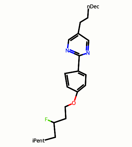 CCCCCCCCCCCCc1cnc(-c2ccc(OCCC(F)CC(C)CCC)cc2)nc1